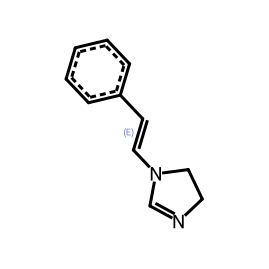 C1=NCCN1/C=C/c1ccccc1